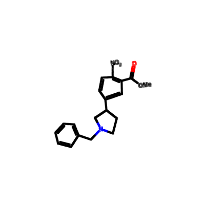 COC(=O)c1cc(C2CCN(Cc3ccccc3)C2)ccc1[N+](=O)[O-]